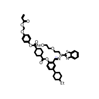 C=CC(=O)OCOc1ccc(OC(=O)C2CCC(C(=O)Oc3ccc(C4CCC(CC)CC4)cc3/C=N/N(CCOCCOC)c3nc4ccccc4s3)CC2)cc1